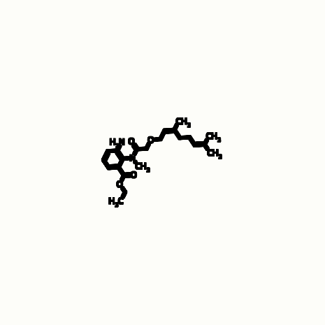 CCOC(=O)c1cccc(N)c1N(C)C(=O)COCC=C(C)CCC=C(C)C